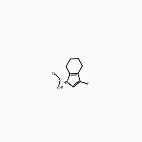 CCOC=O.Fc1c[nH]c2c1CCCC2